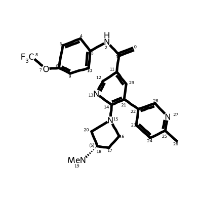 C=C(Nc1ccc(OC(F)(F)F)cc1)c1cnc(N2CC[C@H](NC)C2)c(-c2ccc(C)nc2)c1